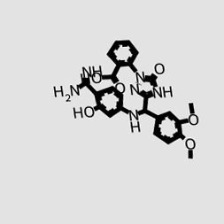 COc1ccc(C(Nc2ccc(C(=N)N)c(O)c2)c2nn(-c3ccccc3C(=O)O)c(=O)[nH]2)cc1OC